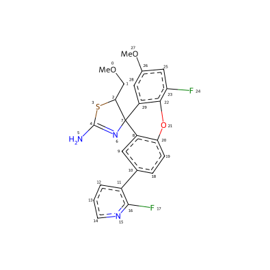 COCC1SC(N)=NC12c1cc(-c3cccnc3F)ccc1Oc1c(F)cc(OC)cc12